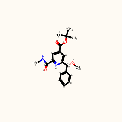 CNC(=O)c1cc(C(=O)OC(C)(C)C)cc([C@H](OC)c2ccccc2)n1